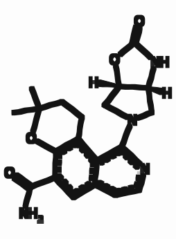 CC1(C)CCc2c(c(C(N)=O)cc3ccnc(N4C[C@@H]5OC(=O)N[C@@H]5C4)c23)O1